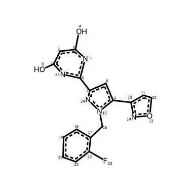 Oc1cc(O)nc(-c2cc(-c3ccon3)n(Cc3ccccc3F)n2)n1